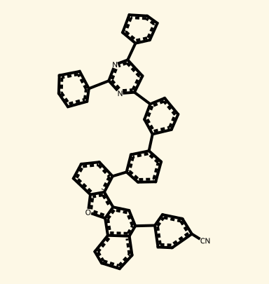 N#Cc1ccc(-c2cc3c(oc4cccc(-c5cccc(-c6cccc(-c7cc(-c8ccccc8)nc(-c8ccccc8)n7)c6)c5)c43)c3ccccc23)cc1